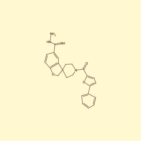 N=C(NN)c1ccc2c(c1)C1(CCN(C(=O)c3ccc(-c4ccccc4)o3)CC1)CO2